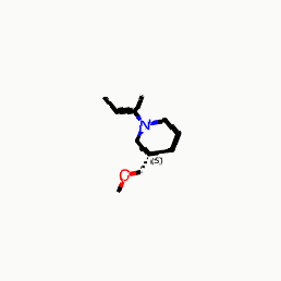 CC=C(C)N1CCC[C@H](COC)C1